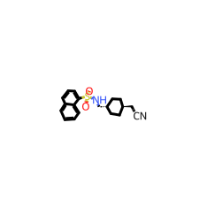 N#CC[C@H]1CC[C@H](CNS(=O)(=O)c2cccc3ccccc23)CC1